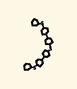 c1ccc(Sc2ccc(-c3ccc(Sc4ccc(-c5ccc(Sc6ccccc6)cc5)cc4)cc3)cc2)cc1